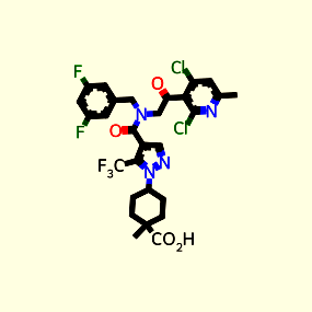 Cc1cc(Cl)c(C(=O)CN(Cc2cc(F)cc(F)c2)C(=O)c2cnn(C3CCC(C)(C(=O)O)CC3)c2C(F)(F)F)c(Cl)n1